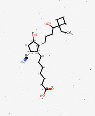 CCC1(C(O)CCC[C@@H]2[C@@H](CCCCCCC(=O)O)[C@H](C#N)C[C@H]2O)CCC1